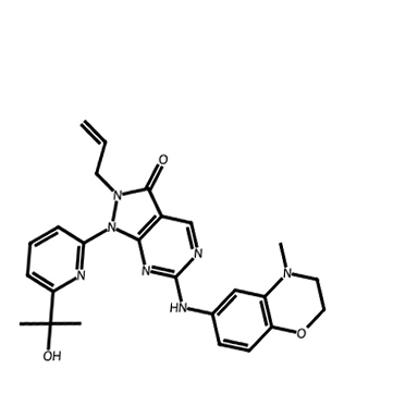 C=CCn1c(=O)c2cnc(Nc3ccc4c(c3)N(C)CCO4)nc2n1-c1cccc(C(C)(C)O)n1